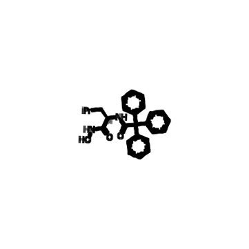 CC(C)C[C@@H](NC(=O)C(c1ccccc1)(c1ccccc1)c1ccccc1)C(=O)NO